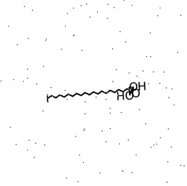 O=P(O)(O)CCCCCCCCCCCCCCCCCCCI